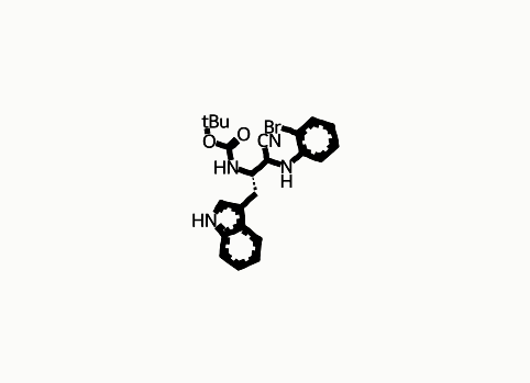 CC(C)(C)OC(=O)N[C@@H](Cc1c[nH]c2ccccc12)C(C#N)Nc1ccccc1Br